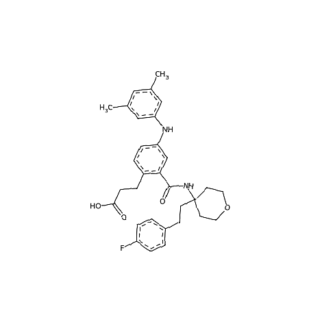 Cc1cc(C)cc(Nc2ccc(CCC(=O)O)c(C(=O)NC3(CCc4ccc(F)cc4)CCOCC3)c2)c1